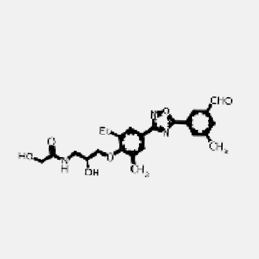 CCc1cc(-c2noc(-c3cc(C)cc(C=O)c3)n2)cc(C)c1OC[C@@H](O)CNC(=O)CO